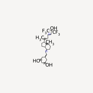 C[C@H](C/C=C/C(O)(C(F)(F)F)C(F)(F)F)C1CCC2/C(=C/C=C3C[C@@H](O)C[C@H](O)C3)CCC[C@@]21C